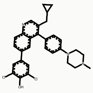 CN1CCN(c2ccc(-c3c(CC4CC4)cnc4ccc(-c5cc(Cl)c(O)c(Cl)c5)cc34)cc2)CC1